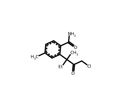 CCC(C)(C(=O)CCl)c1cc(C)ccc1C(N)=O